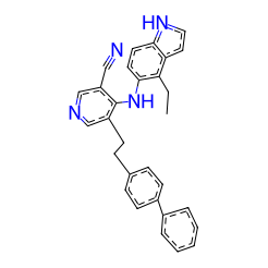 CCc1c(Nc2c(C#N)cncc2CCc2ccc(-c3ccccc3)cc2)ccc2[nH]ccc12